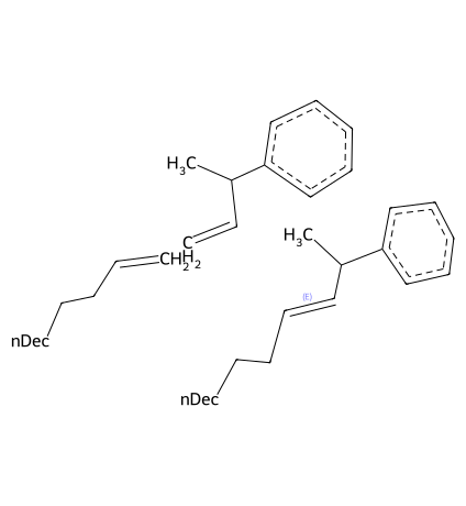 C=CC(C)c1ccccc1.C=CCCCCCCCCCCCC.CCCCCCCCCCCC/C=C/C(C)c1ccccc1